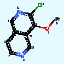 CC(C)Oc1c(Cl)ncc2ccncc12